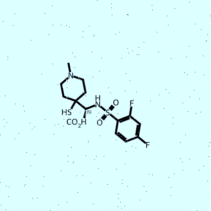 CN1CCC(S)([C@@H](NS(=O)(=O)c2ccc(F)cc2F)C(=O)O)CC1